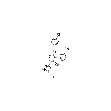 N#Cc1cccc(-c2c(OCc3ccc(Cl)cc3)ccc(-c3cc(C(F)(F)F)[nH]n3)c2O)c1